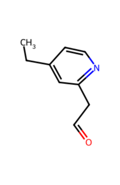 CCc1ccnc(CC=O)c1